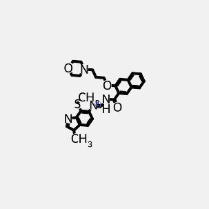 CSc1c(/N=C/NC(=O)c2cc3ccccc3cc2OCCCN2CCOCC2)ccc2c1N=CC2C